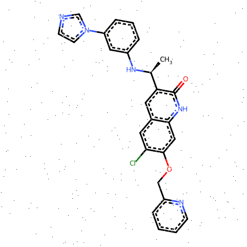 C[C@H](Nc1cccc(-n2ccnc2)c1)c1cc2cc(Cl)c(OCc3ccccn3)cc2[nH]c1=O